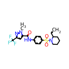 C=CC1CCCCN1S(=O)(=O)c1ccc(NC(=O)c2cc(C(F)(F)F)nn2C)cc1